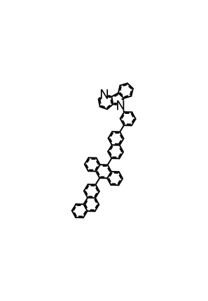 c1cc(-c2ccc3cc(-c4c5ccccc5c(-c5ccc6c(ccc7ccccc76)c5)c5ccccc45)ccc3c2)cc(-n2c3ccccc3c3ncccc32)c1